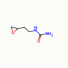 NC(=O)NCCC1CO1